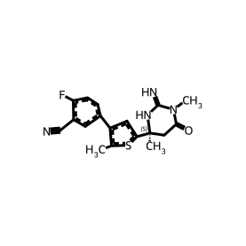 Cc1sc([C@]2(C)CC(=O)N(C)C(=N)N2)cc1-c1ccc(F)c(C#N)c1